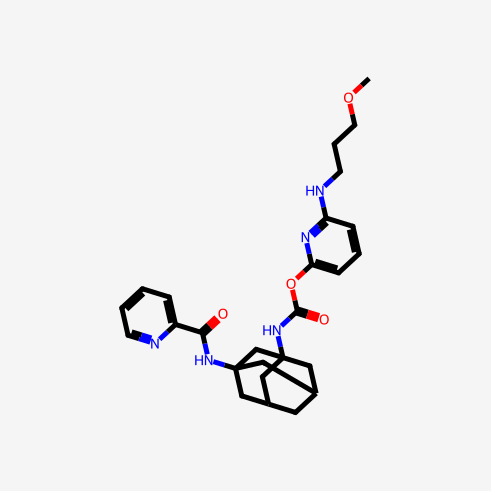 COCCCNc1cccc(OC(=O)NC23CC4CC(C2)CC(NC(=O)c2ccccn2)(C4)C3)n1